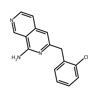 Nc1nc(Cc2ccccc2Cl)cc2ccncc12